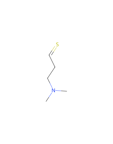 CN(C)CCC=S